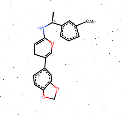 COc1cccc([C@H](C)NC2=CCC(c3ccc4c(c3)OCO4)=CO2)c1